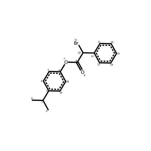 CC(C)c1ccc(OC(=O)C(Br)c2ccccc2)cc1